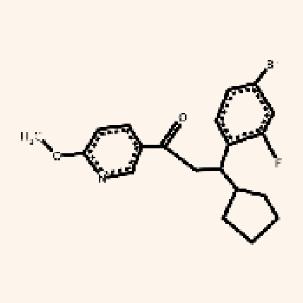 COc1ccc(C(=O)CC(c2ccc(Br)cc2F)C2CCCC2)cn1